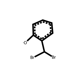 [O]c1ccccc1C(Br)Br